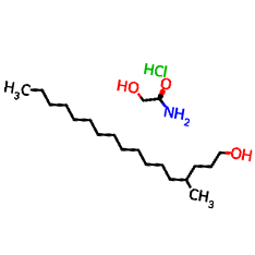 CCCCCCCCCCCCCC(C)CCCO.Cl.NC(=O)CO